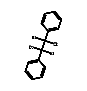 CCC(CC)(c1ccccc1)C(CC)(CC)c1ccccc1